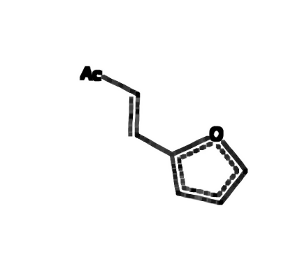 CC(=O)/C=C/c1ccco1